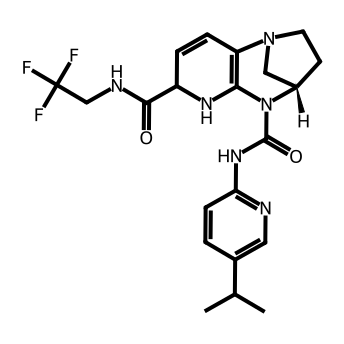 CC(C)c1ccc(NC(=O)N2C3=C(C=CC(C(=O)NCC(F)(F)F)N3)N3CC[C@H]2C3)nc1